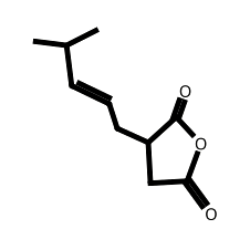 CC(C)C=CCC1CC(=O)OC1=O